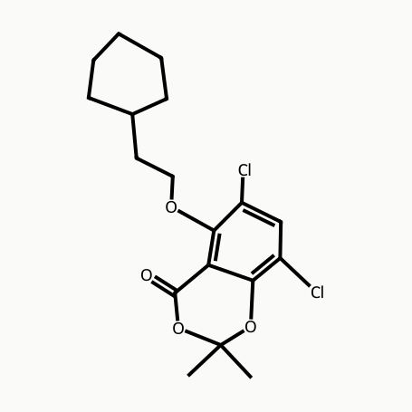 CC1(C)OC(=O)c2c(OCCC3CCCCC3)c(Cl)cc(Cl)c2O1